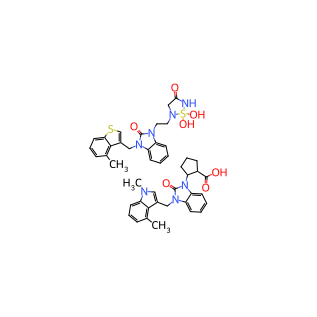 Cc1cccc2c1c(Cn1c(=O)n(C3CCCC3C(=O)O)c3ccccc31)cn2C.Cc1cccc2scc(Cn3c(=O)n(CCN4CC(=O)NS4(O)O)c4ccccc43)c12